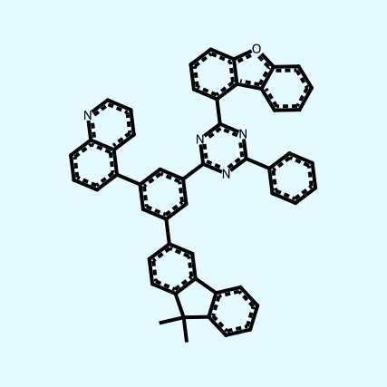 CC1(C)c2ccccc2-c2cc(-c3cc(-c4nc(-c5ccccc5)nc(-c5cccc6oc7ccccc7c56)n4)cc(-c4cccc5ncccc45)c3)ccc21